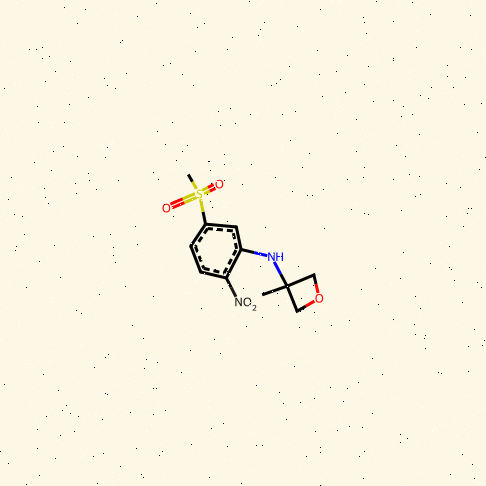 CC1(Nc2cc(S(C)(=O)=O)ccc2[N+](=O)[O-])COC1